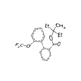 CCC(C)(CC)OC(=O)c1ccccc1-c1ccccc1OC(F)(F)F